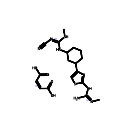 C/N=C(/N)Nc1nc(C2CCCC(N/C(=N\C#N)NC)C2)cs1.O=C(O)/C=C\C(=O)O